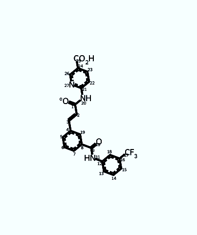 O=C(C=Cc1cccc(C(=O)Nc2cccc(C(F)(F)F)c2)c1)Nc1ccc(C(=O)O)cn1